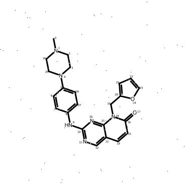 CN1CCN(c2ccc(Nc3ncc4ccc(=O)n(Cc5ccco5)c4n3)cc2)CC1